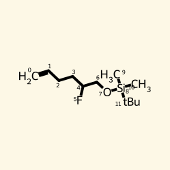 C=CCCC(F)CO[Si](C)(C)C(C)(C)C